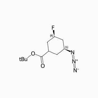 CC(C)(C)OC(=O)C1C[C@@H](F)C[C@@H](N=[N+]=[N-])C1